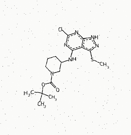 CSc1n[nH]c2nc(Cl)nc(NC3CCCN(C(=O)OC(C)(C)C)C3)c12